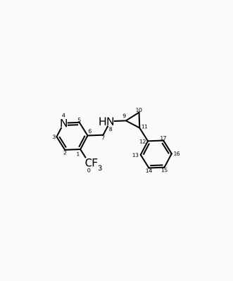 FC(F)(F)c1ccncc1CNC1CC1c1ccccc1